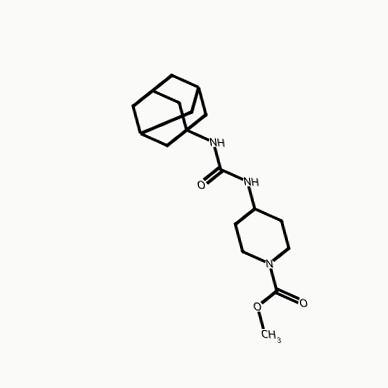 COC(=O)N1CCC(NC(=O)NC23CC4CC(CC(C4)C2)C3)CC1